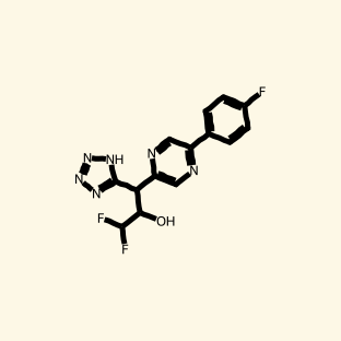 OC(C(F)F)C(c1cnc(-c2ccc(F)cc2)cn1)c1nnn[nH]1